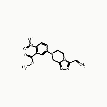 C=Cc1nnc2n1CCN(c1ccc([N+](=O)[O-])c(C(=O)OC)c1)C2